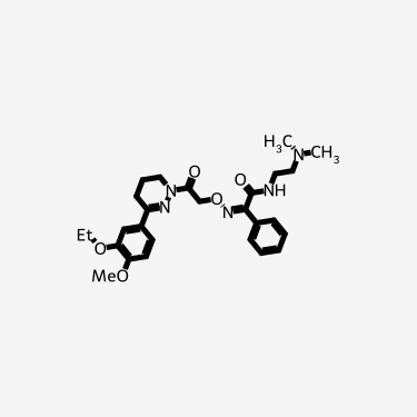 CCOc1cc(C2=NN(C(=O)CO/N=C(\C(=O)NCCN(C)C)c3ccccc3)CCC2)ccc1OC